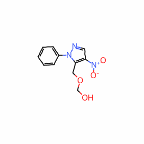 O=[N+]([O-])c1cnn(-c2ccccc2)c1COCO